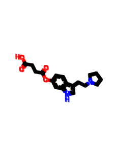 O=C(O)CCC(=O)Oc1ccc2c(CCN3CCCC3)c[nH]c2c1